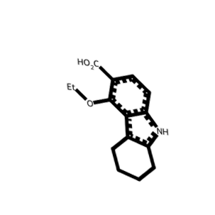 CCOc1c(C(=O)O)ccc2[nH]c3c(c12)CCCC3